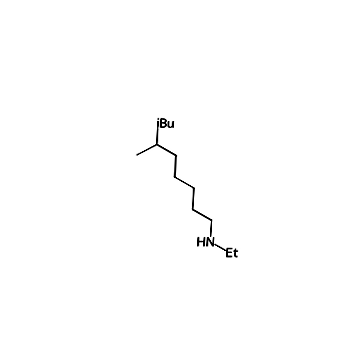 CCNCCCCCC(C)C(C)CC